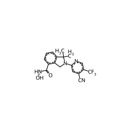 CC1(C)c2cccc(C(=O)NO)c2CN1c1cc(C#N)c(C(F)(F)F)cn1